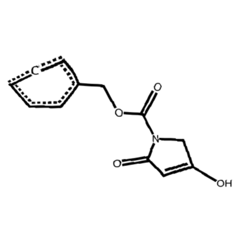 O=C1C=C(O)CN1C(=O)OCc1ccccc1